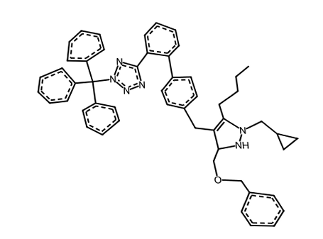 CCCCC1=C(Cc2ccc(-c3ccccc3-c3nnn(C(c4ccccc4)(c4ccccc4)c4ccccc4)n3)cc2)C(COCc2ccccc2)NN1CC1CC1